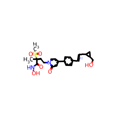 CC(CCn1ccc(-c2ccc(/C=C/C3CC3CO)cc2)cc1=O)(C(=O)NO)S(C)(=O)=O